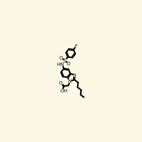 CCCCCc1nc2cc(NS(=O)(=O)c3ccc(F)cc3)ccc2n1CC(=O)O